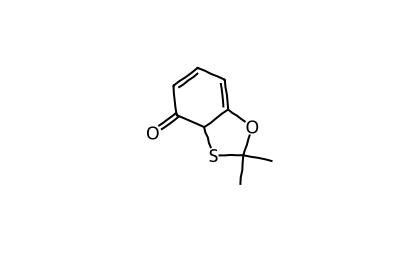 CC1(C)OC2=CC=CC(=O)C2S1